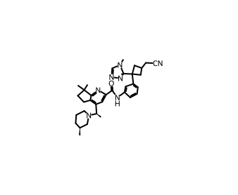 C[C@H]1CCCN([C@H](C)c2cc(C(=O)Nc3cccc(C4(c5nncn5C)CC(CC#N)C4)c3)nc3c2CCC3(C)C)C1